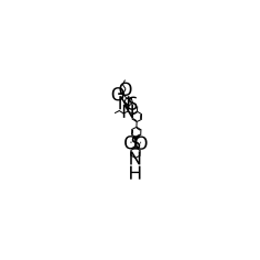 CCCN(c1nc(C(=O)OCC)cs1)c1cc(-c2ccc(S(=O)(=O)C3CCNCC3)cc2)ccc1C